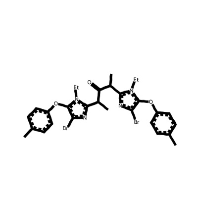 CCn1c(C(C)C(=O)C(C)c2nc(Br)c(Oc3ccc(C)cc3)n2CC)nc(Br)c1Oc1ccc(C)cc1